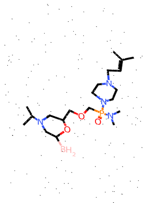 BC1CN(C(C)C)CC(COCP(=O)(N(C)C)N2CCN(CC=C(C)C)CC2)O1